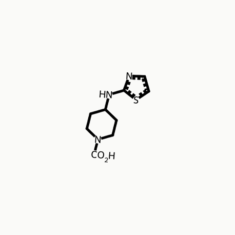 O=C(O)N1CCC(Nc2nccs2)CC1